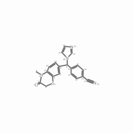 CN1C(=O)CSc2cc(C(c3ccc(C#N)cc3)n3ccnc3)ccc21